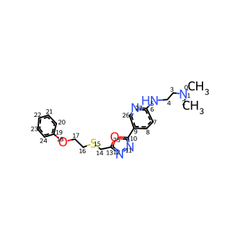 CN(C)CCNc1ccc(-c2nnc(CSCCOc3ccccc3)o2)cn1